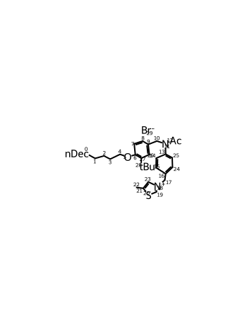 CCCCCCCCCCCCCCOc1ccc(CN(C(C)=O)c2ccc(C[n+]3csc(C)c3)cc2)cc1C(C)(C)C.[Br-]